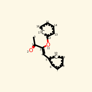 CC(=O)C(=Cc1ccccc1)Oc1ccccc1